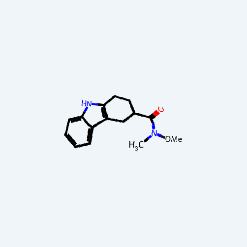 CON(C)C(=O)C1CCc2[nH]c3ccccc3c2C1